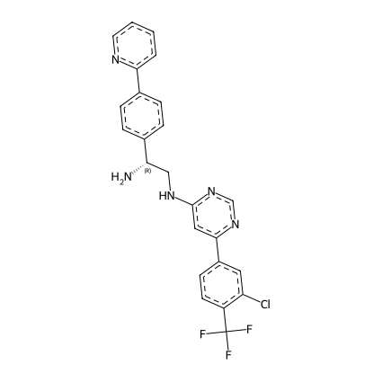 N[C@@H](CNc1cc(-c2ccc(C(F)(F)F)c(Cl)c2)ncn1)c1ccc(-c2ccccn2)cc1